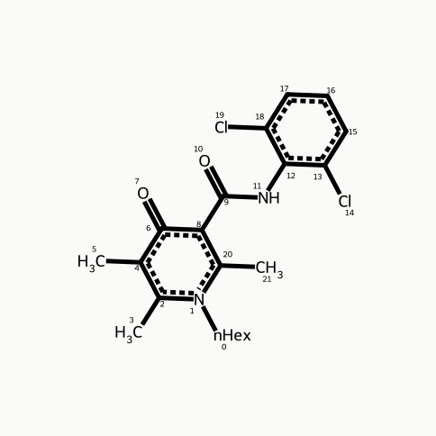 CCCCCCn1c(C)c(C)c(=O)c(C(=O)Nc2c(Cl)cccc2Cl)c1C